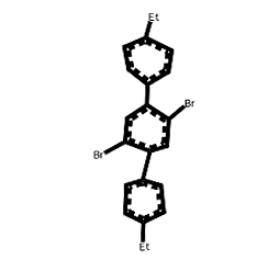 CCc1ccc(-c2cc(Br)c(-c3ccc(CC)cc3)cc2Br)cc1